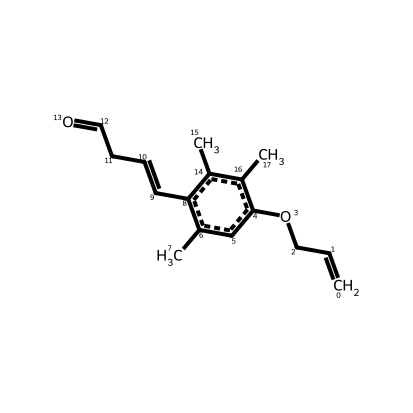 C=CCOc1cc(C)c(C=CCC=O)c(C)c1C